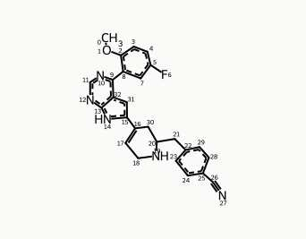 COc1ccc(F)cc1-c1ncnc2[nH]c(C3=CCNC(Cc4ccc(C#N)cc4)C3)cc12